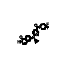 O=C(c1ccc(N(c2ccc3c(=O)[nH]ccc3c2)C2CC2)nc1)N1CCC(F)(F)CC1